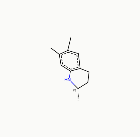 Cc1cc2c(cc1C)N[C@@H](C)CC2